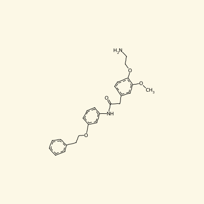 COc1cc(CC(=O)Nc2cccc(OCCc3ccccc3)c2)ccc1OCCN